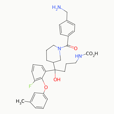 Cc1cccc(Oc2c(F)cccc2C(O)(CCCNC(=O)O)C2CCCN(C(=O)c3ccc(CN)cc3)C2)c1